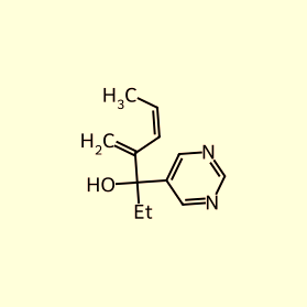 C=C(/C=C\C)C(O)(CC)c1cncnc1